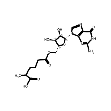 CC(CCCC(=O)OC[C@H]1O[C@@H](n2cnc3c(=O)[nH]c(N)nc32)[C@H](O)[C@@H]1O)C(=O)O